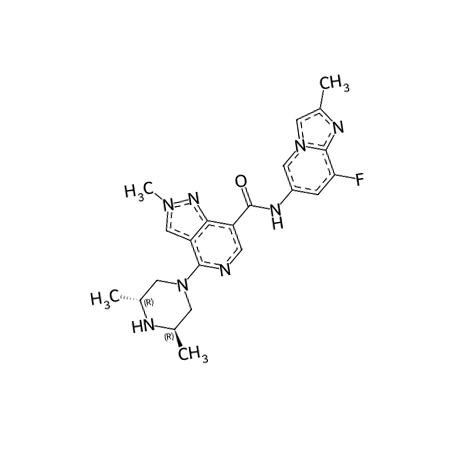 Cc1cn2cc(NC(=O)c3cnc(N4C[C@@H](C)N[C@H](C)C4)c4cn(C)nc34)cc(F)c2n1